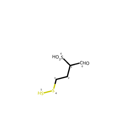 O=CC(CCSS)S(=O)(=O)O